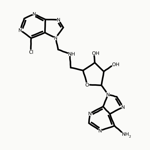 Nc1ncnc2c1ncn2C1OC(CNCn2cnc3ncnc(Cl)c32)C(O)C1O